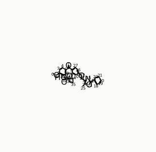 COc1ccc(C(=O)c2ccc(OCc3nc(-c4ccccc4)oc3C)cc2)c(OC2(C(=O)O)CCC2)c1